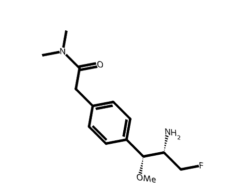 CO[C@H](c1ccc(CC(=O)N(C)C)cc1)[C@H](N)CF